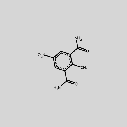 Cc1c(C(N)=O)cc([N+](=O)[O-])cc1C(N)=O